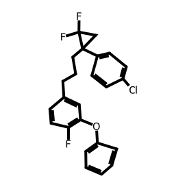 Fc1ccc(CCCC2(c3ccc(Cl)cc3)CC2(F)F)cc1Oc1ccccc1